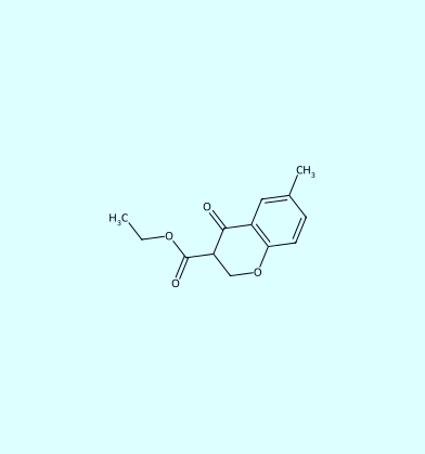 CCOC(=O)C1COc2ccc(C)cc2C1=O